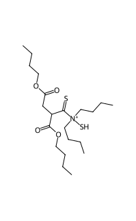 CCCCOC(=O)CC(C(=O)OCCCC)C(=S)[N+](S)(CCCC)CCCC